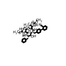 COC(=O)N[C@H](C(=O)N[C@@H](Cc1ccccc1)[C@@H](O)CN(Cc1ccc(-c2ccccc2C#N)cc1)NC(=O)[C@@H](NC(=O)OC)C(C)(C)C)C(C)C